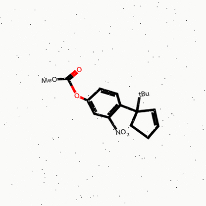 COC(=O)Oc1ccc(C2(C(C)(C)C)C=CCC2)c([N+](=O)[O-])c1